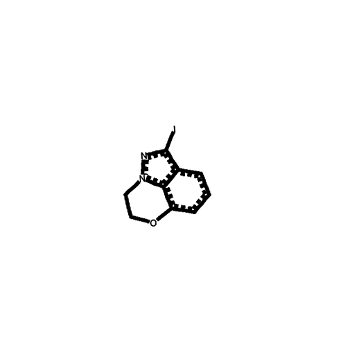 Ic1nn2c3c(cccc13)OCC2